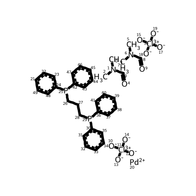 CN(C)C=O.CN(C)C=O.[O-][Cl+3]([O-])([O-])[O-].[O-][Cl+3]([O-])([O-])[O-].[Pd+2].c1ccc(P(CCCP(c2ccccc2)c2ccccc2)c2ccccc2)cc1